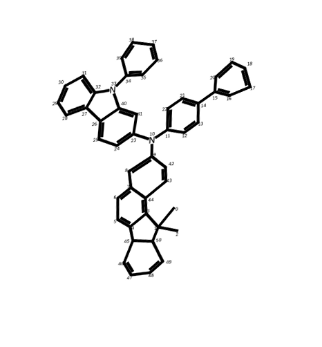 CC1(C)c2c(ccc3cc(N(c4ccc(-c5ccccc5)cc4)c4ccc5c6ccccc6n(-c6ccccc6)c5c4)ccc23)C2C=CC=CC21